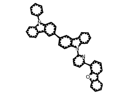 c1ccc(-n2c3ccccc3c3cc(-c4ccc5c(c4)c4ccccc4n5-c4cccc(-c5cccc6c5oc5ccccc56)n4)ccc32)cc1